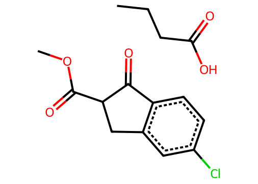 CCCC(=O)O.COC(=O)C1Cc2cc(Cl)ccc2C1=O